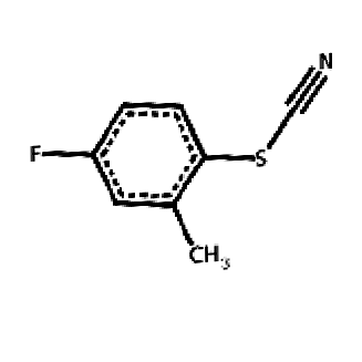 Cc1cc(F)ccc1SC#N